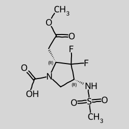 COC(=O)C[C@H]1N(C(=O)O)C[C@@H](NS(C)(=O)=O)C1(F)F